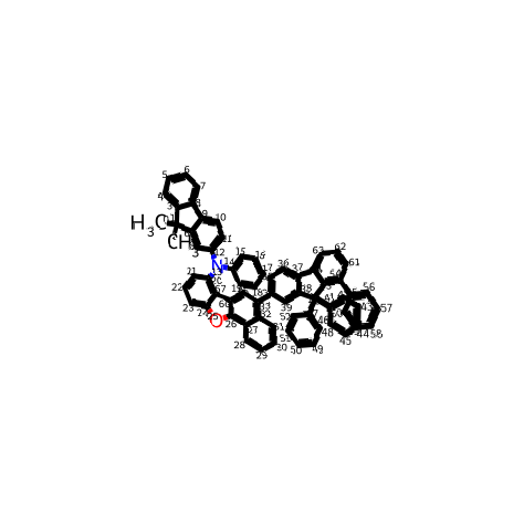 CC1(C)c2ccccc2-c2ccc(N(c3ccccc3)c3cccc4oc5c6ccccc6c(-c6ccc7c(c6)C(c6ccccc6)(c6ccccc6)c6c(-c8ccccc8)cccc6-7)cc5c34)cc21